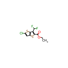 CCOC(=O)c1sc2cc(Cl)sc2c1C(F)F